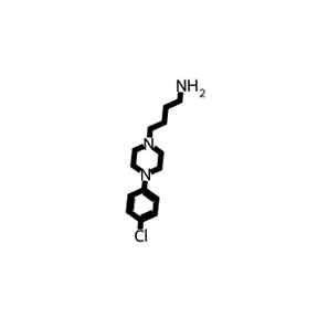 NCCCCN1CCN(c2ccc(Cl)cc2)CC1